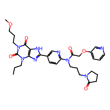 CCCn1c(=O)n(CCCOC)c(=O)c2[nH]c(-c3ccc(N(CCCN4CCCC4=O)C(=O)COc4cccnc4)nc3)nc21